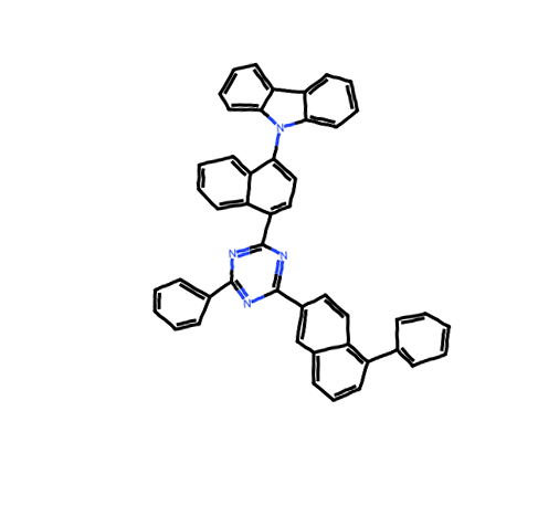 c1ccc(-c2nc(-c3ccc4c(-c5ccccc5)cccc4c3)nc(-c3ccc(-n4c5ccccc5c5ccccc54)c4ccccc34)n2)cc1